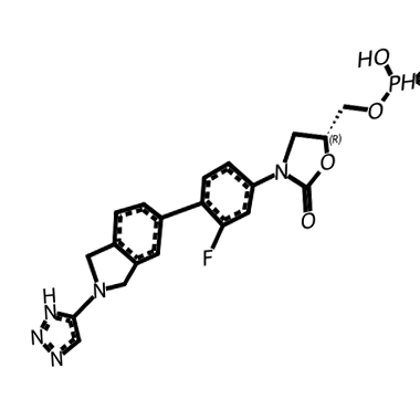 O=C1O[C@@H](CO[PH](=O)O)CN1c1ccc(-c2ccc3c(c2)CN(c2cnn[nH]2)C3)c(F)c1